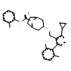 C[C@@H]1CC2C[C@H](OCc3c(-c4c(Cl)cccc4Cl)noc3C3CC3)CC1N2C(=O)Nc1ccccc1F